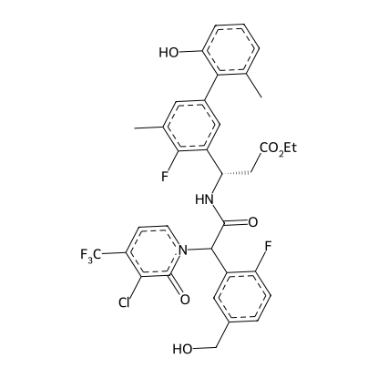 CCOC(=O)C[C@H](NC(=O)C(c1cc(CO)ccc1F)n1ccc(C(F)(F)F)c(Cl)c1=O)c1cc(-c2c(C)cccc2O)cc(C)c1F